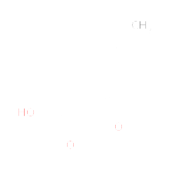 CC1=CC(=O)C(C(=O)O)C=C1